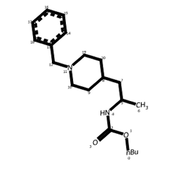 CCCCOC(=O)NC(C)CC1CCN(Cc2ccccc2)CC1